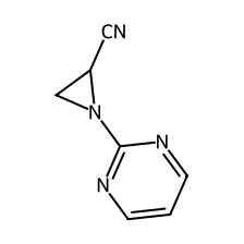 N#CC1CN1c1ncccn1